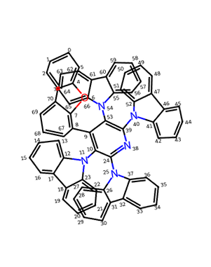 c1ccc2c(c1)oc1c(-c3c(-n4c5ccccc5c5ccccc54)c(-n4c5ccccc5c5ccccc54)nc(-n4c5ccccc5c5ccccc54)c3-n3c4ccccc4c4ccccc43)cccc12